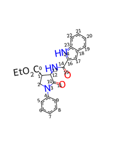 CCOC(=O)[C@@H]1CN(c2ccccc2)C(=O)[C@@H]1NC(=O)c1cc2ccccc2[nH]1